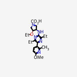 CCO[C@H]1CN(C(=O)O)C[C@H]1Nc1nc(CC)c(-c2ccc(OC)nc2C)nc1CC